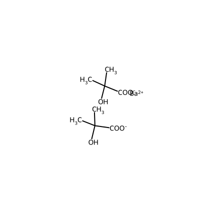 CC(C)(O)C(=O)[O-].CC(C)(O)C(=O)[O-].[Ba+2]